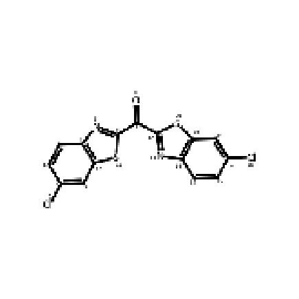 O=C(c1nc2ccc(Cl)cc2s1)c1nc2ccc(Cl)cc2s1